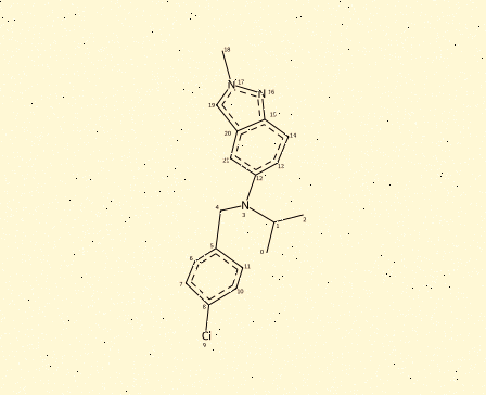 CC(C)N(Cc1ccc(Cl)cc1)c1ccc2nn(C)cc2c1